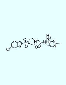 Cc1ncc(CNC(=O)CN2CCN(S(=O)(=O)c3cc4ccc(Cl)cc4s3)CC2=O)c(N)n1